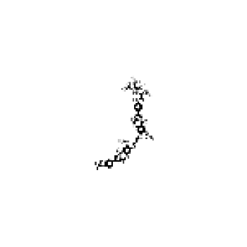 COc1cc2c(cc1OCCCOc1cc3c(cc1OC)C(=O)N1C=C(c4ccc(OC(F)(F)F)cc4)C[C@H]1C=N3)N=C[C@@H]1CC(c3ccc(NC(=O)[C@H](C)NC(=O)[C@@H](NC(=O)O)C(C)C)cc3)=CN1C2=O